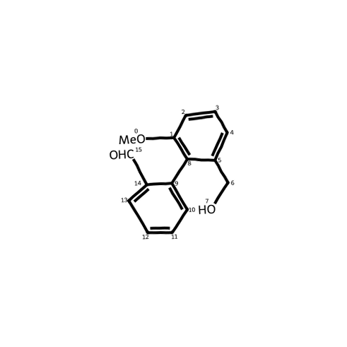 COc1cccc(CO)c1-c1ccccc1C=O